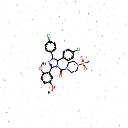 CCOc1ccc(OC(C)C)c(C2=NC(c3ccc(Cl)cc3)C(c3ccc(Cl)cc3)N2C(=O)N2CCN(S(C)(=O)=O)CC2)c1